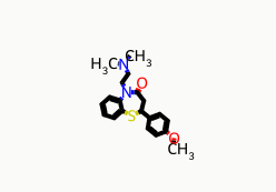 COc1ccc(C2CC(=O)N(CCN(C)C)c3ccccc3S2)cc1